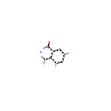 CC(C)c1n[nH]c(=O)c2cc(Br)cc(F)c12